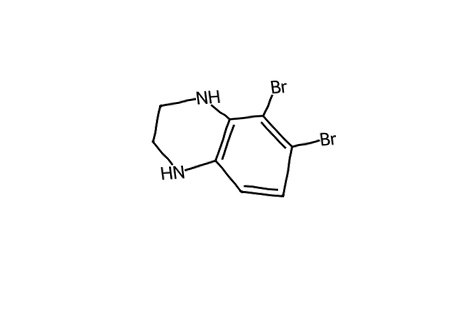 Brc1ccc2c(c1Br)NCCN2